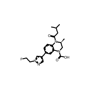 CC(C)CC(=O)N1c2ccc(-c3cnn(CCF)c3)cc2N(C(=O)O)C[C@@H]1C